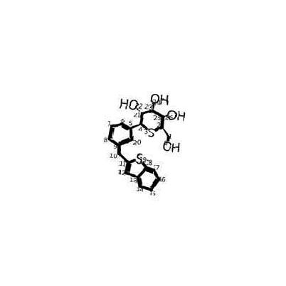 OC[C@H]1S[C@@H](c2cccc(Cc3cc4ccccc4s3)c2)[C@H](O)[C@@H](O)[C@@H]1O